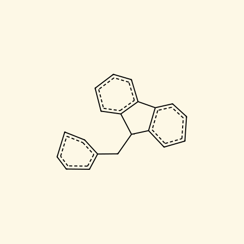 c1ccc(C[C]2c3ccccc3-c3ccccc32)cc1